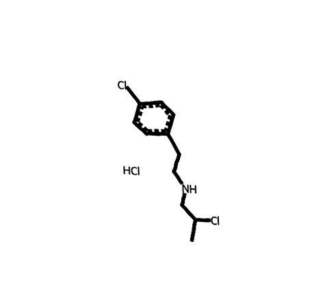 CC(Cl)CNCCc1ccc(Cl)cc1.Cl